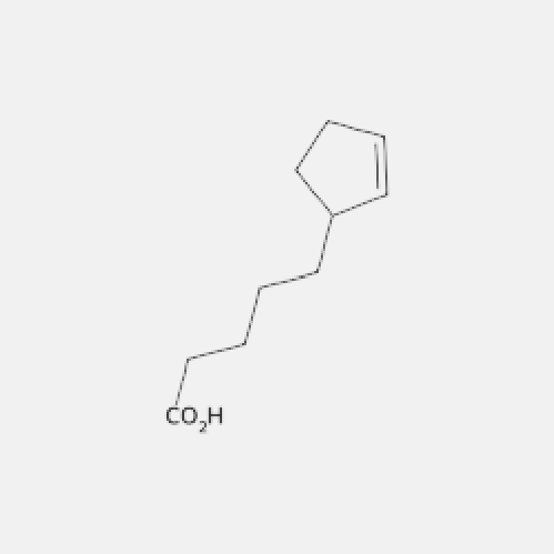 O=C(O)CCCCC1C=CCC1